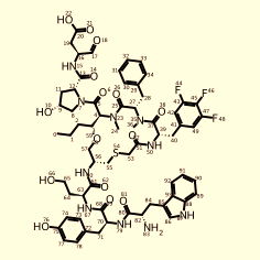 CCCC[C@@H](C(=O)N1C[C@H](O)C[C@@H]1C(=O)N[C@H](C=O)CC(=O)O)N(C)C(=O)[C@H](Cc1ccccc1)N(C)C(=O)[C@H](Cc1cc(F)c(F)c(F)c1)NC(=O)CSC[C@@H](COC)NC(=O)[C@H](CCO)NC(=O)[C@H](Cc1ccc(O)cc1)NC(=O)[C@@H](N)Cc1c[nH]c2ccccc12